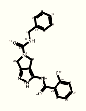 O=C(Nc1[nH]nc2c1CN(C(=O)NCc1ccccc1)C2)c1ccccc1F